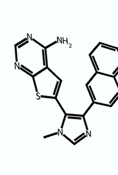 Cn1cnc(-c2ccc3ccccc3c2)c1-c1cc2c(N)ncnc2s1